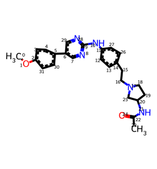 COc1ccc(-c2cnc(Nc3ccc(CCN4CCC(NC(C)=O)C4)cc3)nc2)cc1